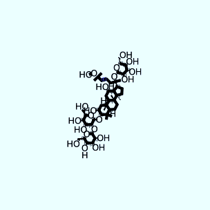 CC(C)(/C=C/CC(C)(O[C@@H]1O[C@H](CO)[C@@H](O)[C@H](O)[C@H]1O)[C@H]1CC[C@]2(C)[C@@H]1[C@H](O)C[C@@H]1[C@@]3(C)C[C@@H](O)[C@H](O[C@@H]4O[C@H](CO)[C@@H](O)[C@H](O)[C@H]4O[C@@H]4O[C@H](CO)[C@@H](O)[C@H](O)[C@H]4O)C(C)(C)[C@@H]3CC[C@]12C)OO